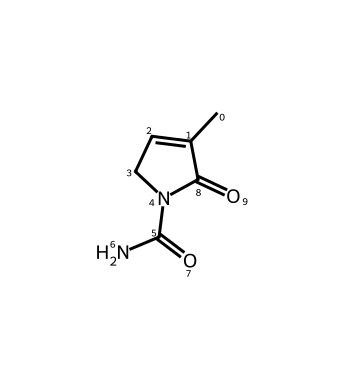 CC1=CCN(C(N)=O)C1=O